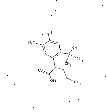 CCCC(C(=O)O)c1cc(C)c(O)cc1C(C)(C)C